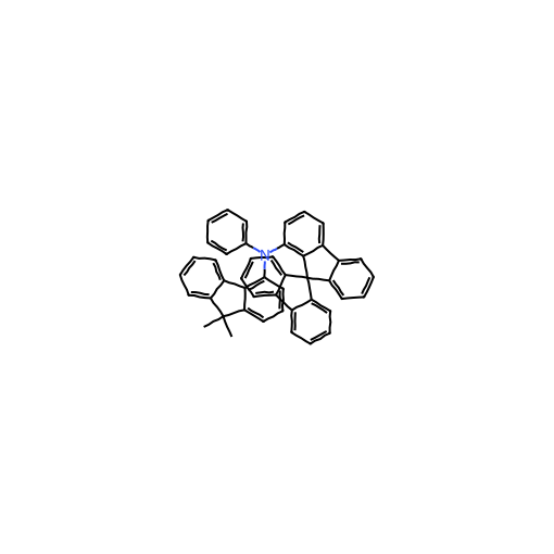 CC1(C)c2ccccc2-c2c(N(c3ccccc3)c3cccc4c3C3(c5ccccc5-c5ccccc53)c3ccccc3-4)cccc21